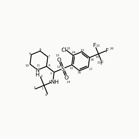 CC(C)(C)NC(C1CCCCN1)S(=O)(=O)c1ccc(C(F)(F)F)cc1Cl